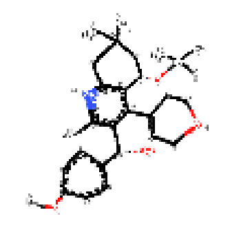 CC(C)Oc1ccc([C@@H](O)c2c(C(C)C)nc3c(c2C2=CCOCC2)[C@@H](O[Si](C)(C)C(C)(C)C)CC(C)(C)C3)cc1